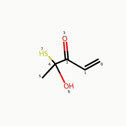 C=CC(=O)C(C)(O)S